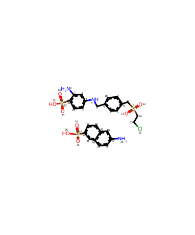 Nc1cc(NCc2ccc(CS(=O)(=O)CCCl)cc2)ccc1S(=O)(=O)O.Nc1ccc2cc(S(=O)(=O)O)ccc2c1